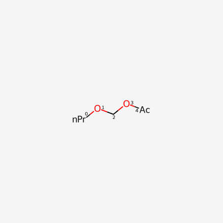 CCCOCOC(C)=O